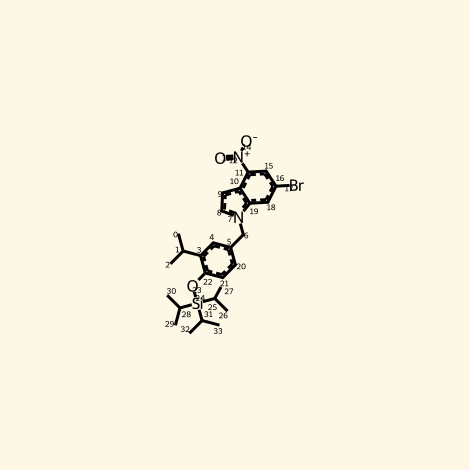 CC(C)c1cc(Cn2ccc3c([N+](=O)[O-])cc(Br)cc32)ccc1O[Si](C(C)C)(C(C)C)C(C)C